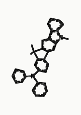 Cn1c2ccccc2c2cc3c(cc21)-c1ccc(N(c2ccccc2)c2ccccc2)cc1C3(C)C